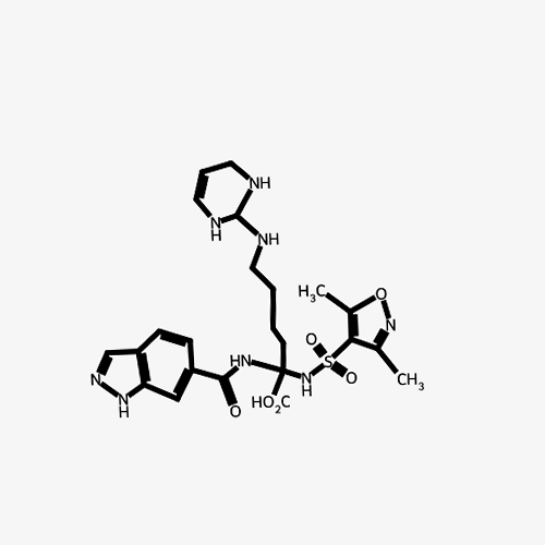 Cc1noc(C)c1S(=O)(=O)NC(CCCCNC1NC=CCN1)(NC(=O)c1ccc2cn[nH]c2c1)C(=O)O